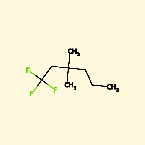 CCCC(C)(C)CC(F)(F)F